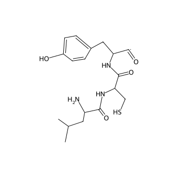 CC(C)CC(N)C(=O)NC(CS)C(=O)NC([C]=O)Cc1ccc(O)cc1